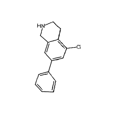 Clc1cc(-c2ccccc2)cc2c1CCNC2